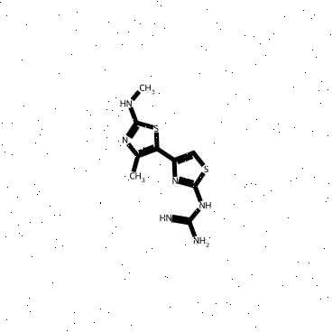 CNc1nc(C)c(-c2csc(NC(=N)N)n2)s1